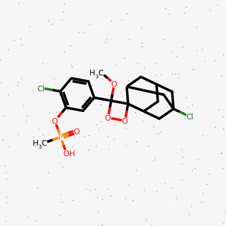 COC1(c2ccc(Cl)c(OP(C)(=O)O)c2)OOC12C1CC3CC2CC(Cl)(C3)C1